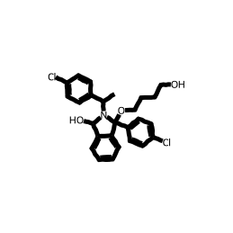 CC(c1ccc(Cl)cc1)N1C(O)c2ccccc2C1(OCCCCO)c1ccc(Cl)cc1